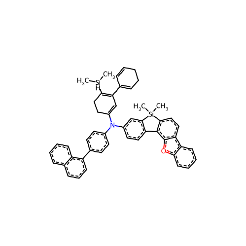 C[SiH](C)C1=C(C2=CCCC=C2)C=C(N(c2ccc(-c3cccc4ccccc34)cc2)c2ccc3c(c2)[Si](C)(C)c2ccc4c(oc5ccccc54)c2-3)CC1